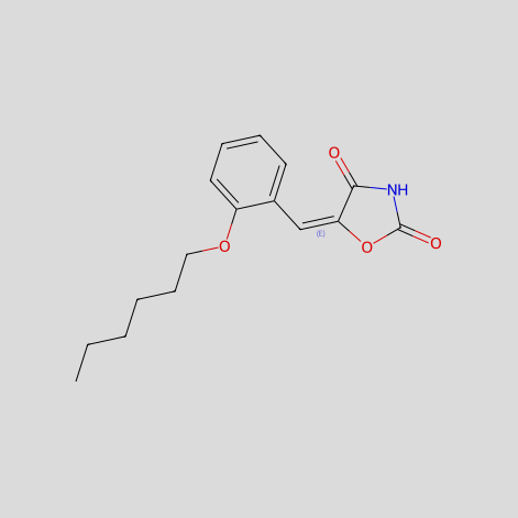 CCCCCCOc1ccccc1/C=C1/OC(=O)NC1=O